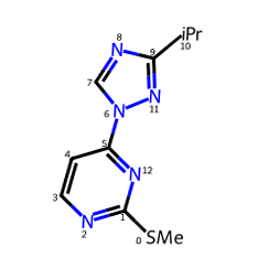 CSc1nccc(-n2cnc(C(C)C)n2)n1